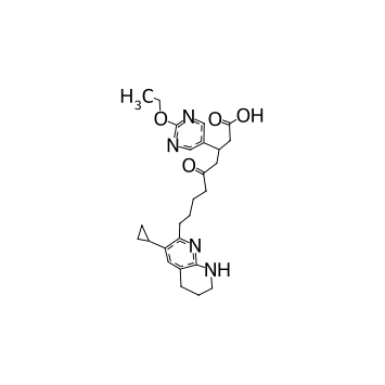 CCOc1ncc(C(CC(=O)O)CC(=O)CCCCc2nc3c(cc2C2CC2)CCCN3)cn1